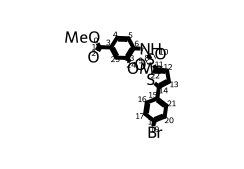 COC(=O)c1ccc(NS(=O)(=O)c2ccc(-c3ccc(Br)cc3)s2)c(OC)c1